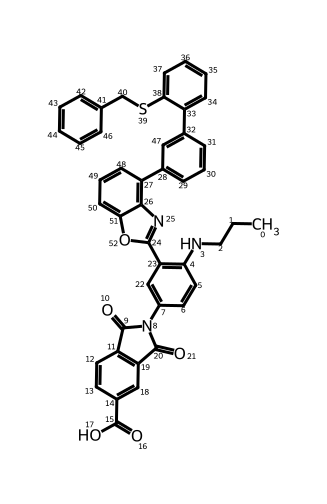 CCCNc1ccc(N2C(=O)c3ccc(C(=O)O)cc3C2=O)cc1-c1nc2c(-c3cccc(-c4ccccc4SCc4ccccc4)c3)cccc2o1